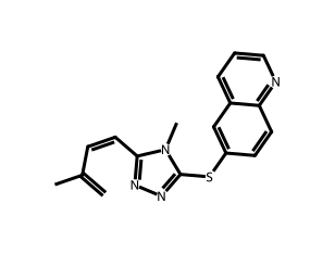 C=C(C)/C=C\c1nnc(Sc2ccc3ncccc3c2)n1C